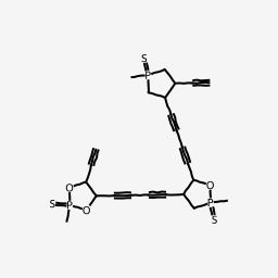 C#CC1CP(C)(=S)CC1C#CC#CC1OP(C)(=S)CC1C#CC#CC1OP(C)(=S)OC1C#C